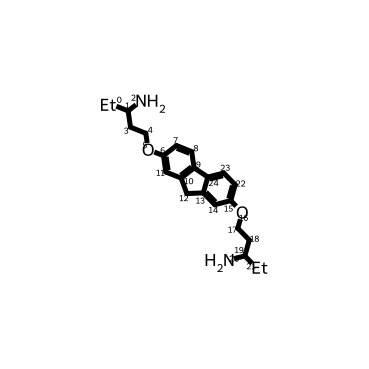 CCC(N)CCOc1ccc2c(c1)Cc1cc(OCCC(N)CC)ccc1-2